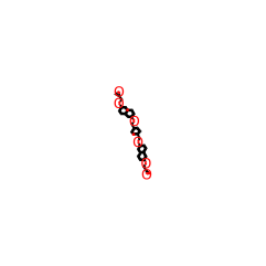 c1cc(COc2ccc3cc(OCC4CO4)ccc3c2)ccc1COc1ccc2cc(OCC3CO3)ccc2c1